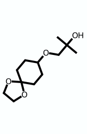 CC(C)(O)COC1CCC2(CC1)OCCO2